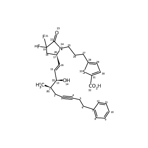 C[C@H](CC#CCCc1ccccc1)[C@H](O)C=C[C@H]1CC(F)(F)C(=O)N1CCCc1ccc(C(=O)O)s1